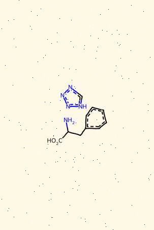 NC(Cc1ccccc1)C(=O)O.c1nnn[nH]1